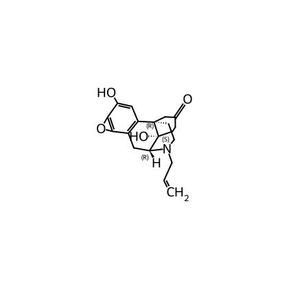 C=CCN1CC[C@]23CC(=O)CC[C@@]2(O)[C@H]1Cc1c3cc(O)c2c1O2